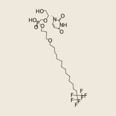 O=c1ccn(C[C@@H](CO)OCP(=O)(O)OCCCOCCCCCCCCCCCCCCC(F)(C(F)(F)F)C(F)(F)F)c(=O)[nH]1